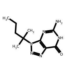 CCCC(C)(C)n1nnc2c(=O)[nH]c(N)nc21